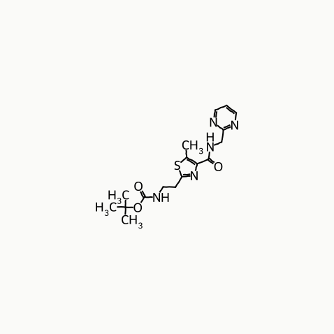 Cc1sc(CCNC(=O)OC(C)(C)C)nc1C(=O)NCc1ncccn1